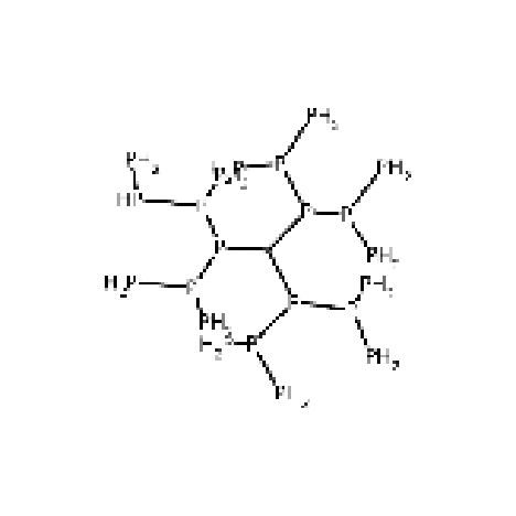 PPP(P)P(C(P(P(P)P)P(P)P)P(P(P)P)P(P)P)P(P)P